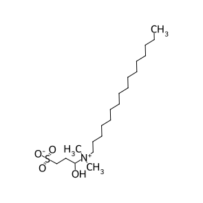 CCCCCCCCCCCCCCCC[N+](C)(C)C(O)CCS(=O)(=O)[O-]